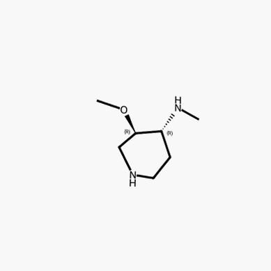 CN[C@@H]1CCNC[C@H]1OC